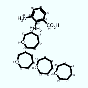 C1CCCOCC1.C1CCCOCC1.C1CCCOCC1.C1CCCOCC1.Nc1cccc(C(=O)O)c1N